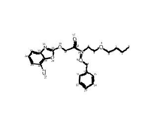 CCCCOCCN(OCc1ccccc1)C(=O)COc1nc2cccc(Cl)c2o1